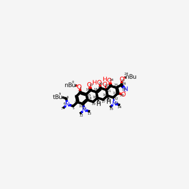 CCCCOc1cc(CN(C)CC(C)(C)C)c(N(C)C)c2c1C(=O)C1=C(O)[C@]3(O)C(=O)c4c(OCCCC)noc4[C@@H](N(C)C)[C@@H]3C[C@@H]1C2